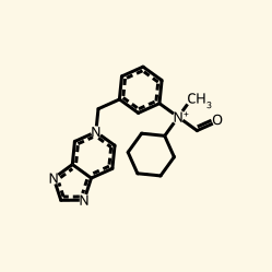 C[N+](C=O)(c1cccc(Cn2ccc3ncnc-3c2)c1)C1CCCCC1